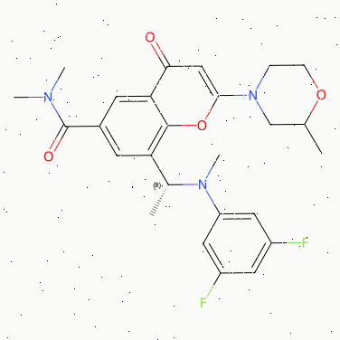 CC1CN(c2cc(=O)c3cc(C(=O)N(C)C)cc([C@@H](C)N(C)c4cc(F)cc(F)c4)c3o2)CCO1